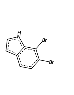 Brc1ccc2cc[nH]c2c1Br